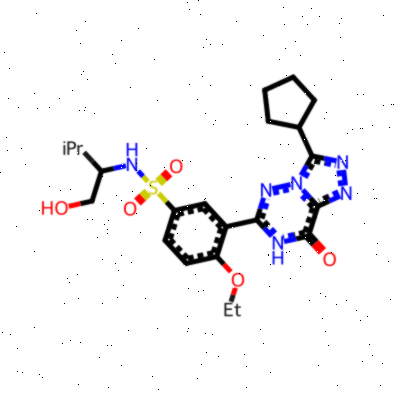 CCOc1ccc(S(=O)(=O)NC(CO)C(C)C)cc1-c1nn2c(C3CCCC3)nnc2c(=O)[nH]1